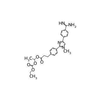 CCOC(=O)OC(C)OC(=O)CCc1ccc(-c2nc(-c3ccc(C(=N)N)cc3)cn2C)cc1